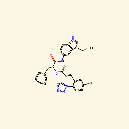 O=C(O)Cc1c[nH]c2ccc(NC(=O)C(Cc3ccccc3)NC(=O)C=Cc3cc(Cl)ccc3-n3cnnn3)cc12